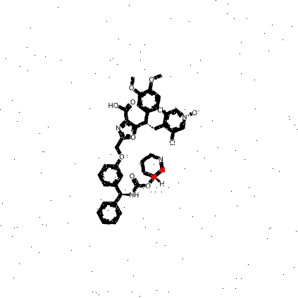 COc1ccc([C@H](Cc2c(Cl)c[n+]([O-])cc2Cl)c2oc(COc3cccc([C@@H](NC(=O)O[C@H]4CN5CCC4CC5)c4ccccc4)c3)nc2C(=O)O)cc1OC